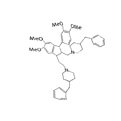 COc1ccc(C2c3cc(OC)c(OC)cc3C(CCN3CCC(Cc4ccccc4)CC3)C2CN2CCC(Cc3ccccc3)CC2)cc1OC